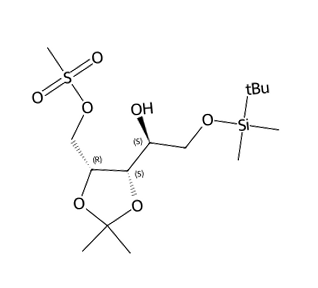 CC1(C)O[C@@H]([C@@H](O)CO[Si](C)(C)C(C)(C)C)[C@@H](COS(C)(=O)=O)O1